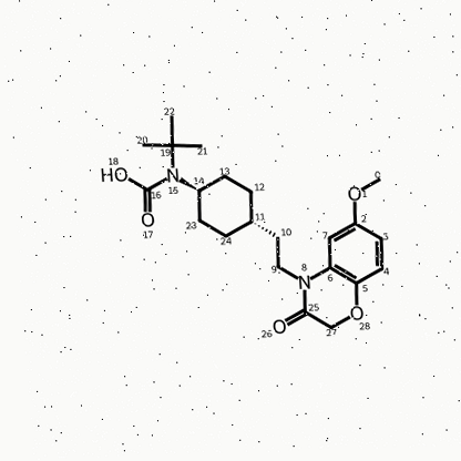 COc1ccc2c(c1)N(CC[C@H]1CC[C@H](N(C(=O)O)C(C)(C)C)CC1)C(=O)CO2